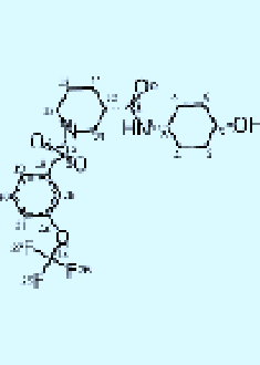 O=C(N[C@H]1CC[C@H](O)CC1)[C@H]1CCCN(S(=O)(=O)c2cccc(OC(F)(F)F)c2)C1